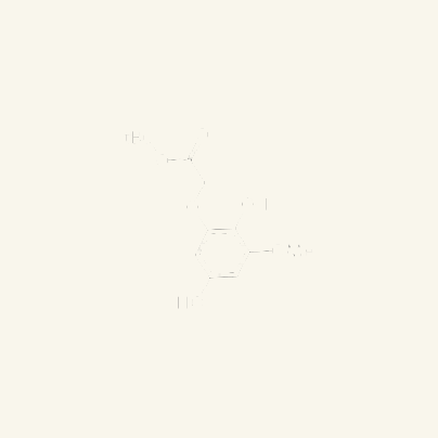 COc1cc(O)cc(OCC(=O)OC(C)(C)C)c1O